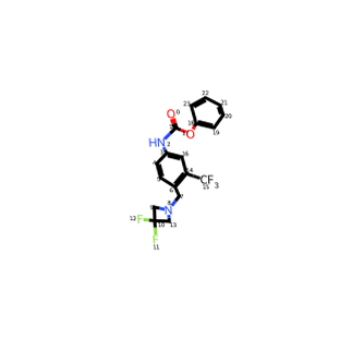 O=C(Nc1ccc(CN2CC(F)(F)C2)c(C(F)(F)F)c1)Oc1ccccc1